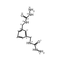 NNC(=O)NCc1cccc(CNC(=O)NN)c1